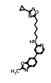 Cc1nc2ccc(-c3ccnc(NCCCCCc4nc(C5CC5)no4)c3)cc2o1